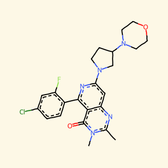 Cc1nc2cc(N3CCC(N4CCOCC4)C3)nc(-c3ccc(Cl)cc3F)c2c(=O)n1C